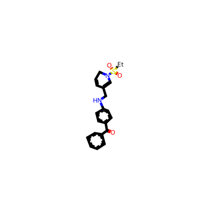 CCS(=O)(=O)N1C=C(CNc2ccc(C(=O)c3ccccc3)cc2)C=CC1